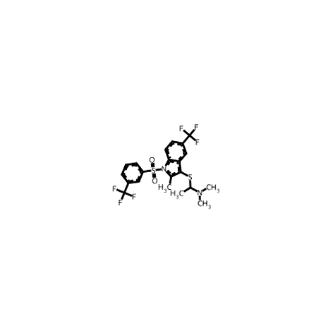 Cc1c(SC(C)N(C)C)c2cc(C(F)(F)F)ccc2n1S(=O)(=O)c1cccc(C(F)(F)F)c1